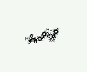 Cc1ccc(-n2nc(C(C)(C)C)cc2NC(=O)Nc2cccc(CC3CCN(C(=O)CC4NC(=O)NC4=O)CC3)c2)cc1